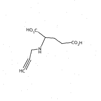 C#CCNC(CCC(=O)O)C(=O)O